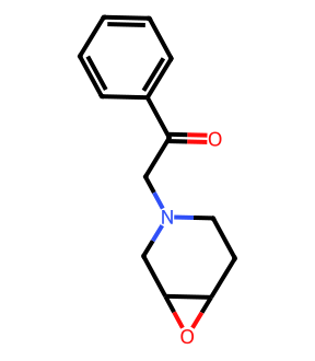 O=C(CN1CCC2OC2C1)c1ccccc1